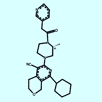 C[C@@H]1CN(c2nc(C3CCCCC3)c3c(c2C#N)CCOC3)CCN1C(=O)Cc1cccnc1